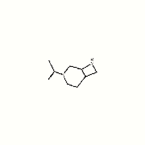 CC(C)N1CCC2CNC2C1